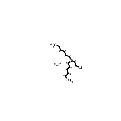 CCCCCCN(CCCl)CCCCCC.Cl